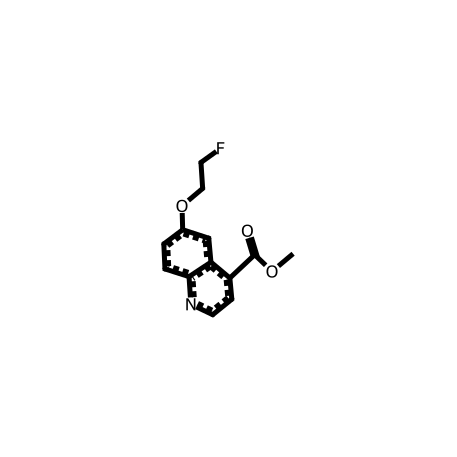 COC(=O)c1ccnc2ccc(OCCF)cc12